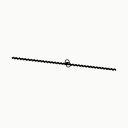 CCCCCCCCCCCCCCCCCCCCCCCCCCCCCCCCCCCCCC(=O)OCCCCCCCCCCCCCCCCCCCCCCCCCCCCCCCC